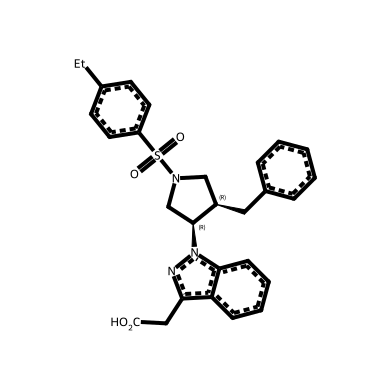 CCc1ccc(S(=O)(=O)N2C[C@@H](Cc3ccccc3)[C@@H](n3nc(CC(=O)O)c4ccccc43)C2)cc1